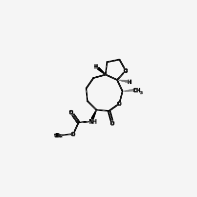 C[C@@H]1OC(=O)[C@@H](NC(=O)OC(C)(C)C)CCC[C@@H]2CCO[C@H]21